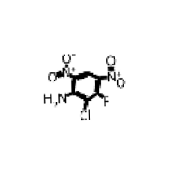 Nc1c([N+](=O)[O-])cc([N+](=O)[O-])c(F)c1Cl